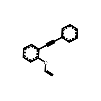 C=COc1ccccc1C#Cc1ccccc1